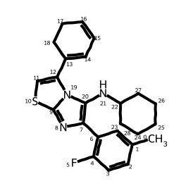 Cc1ccc(F)c(-c2nc3scc(C4=CC=CCC4)n3c2NC2CCCCC2)c1